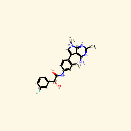 Cc1nc(N)c2c(-c3ccc(NC(=O)[C@@H](O)c4cccc(F)c4)cc3C)cn(C)c2n1